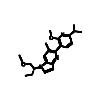 CC[C@H](COC)n1ccc2nc(-c3ccc(C(C)C)nc3OC)c(C)cc21